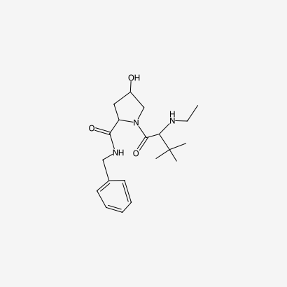 CCNC(C(=O)N1CC(O)CC1C(=O)NCc1ccccc1)C(C)(C)C